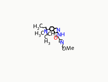 C=C/C=C(/c1ccc2cnc(NC(=O)C3CN(CCOC)C3)cc2c1)N(C)C(=C)C